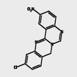 O=[N+]([O-])c1ccc2c(c1)C1=Nc3cc(Cl)ccc3CN1C=N2